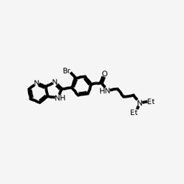 CCN(CC)CCCNC(=O)c1ccc(-c2nc3ncccc3[nH]2)c(Br)c1